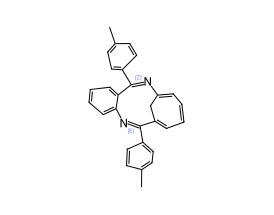 Cc1ccc(/C2=N/C3=CC=CC=C(C3)/C(c3ccc(C)cc3)=N\c3ccccc32)cc1